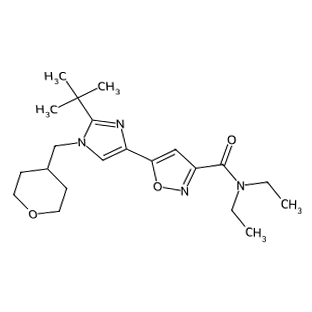 CCN(CC)C(=O)c1cc(-c2cn(CC3CCOCC3)c(C(C)(C)C)n2)on1